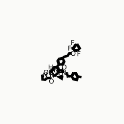 Cc1ccc(CCN(C(=O)C2=C(c3ccc(CCCOc4c(F)ccc(F)c4F)cc3)C[C@H]3CN(C(=O)C4CCCN4O)C[C@H]2N3)C2CC2)cc1